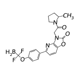 BC(F)(F)Oc1ccc(-c2ccc3oc(=O)n(CC(=O)N4CCCC4C)c3n2)cc1